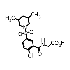 CC1CC(C)CN(S(=O)(=O)c2ccc(Cl)c(C(=O)NCC(=O)O)c2)C1